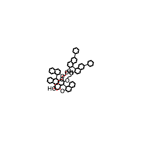 OCCOc1ccc2ccccc2c1-c1c(OCCOc2ccc3cc(-c4ccccc4)ccc3c2-c2c(OCCOc3ccc4ccccc4c3-c3c(OCCO)ccc4ccccc34)ccc3cc(-c4ccccc4)ccc23)ccc2ccccc12